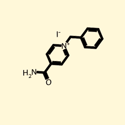 NC(=O)c1cc[n+](Cc2ccccc2)cc1.[I-]